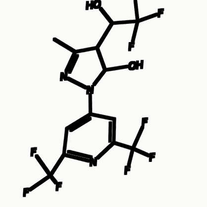 CC1=NN(c2cc(C(F)(F)F)nc(C(F)(F)F)c2)C(O)C1C(O)C(F)(F)F